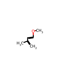 C=C(C)/C=C/OC